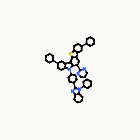 c1ccc(-c2ccc3sc4c(cc(-c5ncccn5)c5c4c4cc(-c6ccccc6)ccc4n5-c4ccc(-c5nc6ccccc6n5-c5ccccc5)cc4)c3c2)cc1